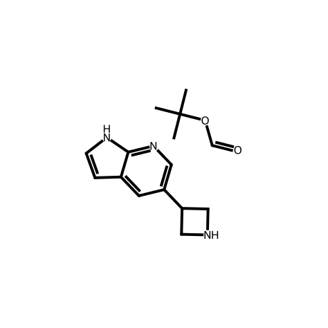 CC(C)(C)OC=O.c1cc2cc(C3CNC3)cnc2[nH]1